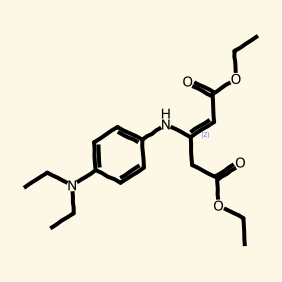 CCOC(=O)/C=C(/CC(=O)OCC)Nc1ccc(N(CC)CC)cc1